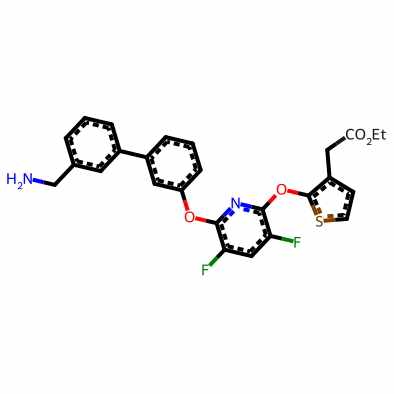 CCOC(=O)Cc1ccsc1Oc1nc(Oc2cccc(-c3cccc(CN)c3)c2)c(F)cc1F